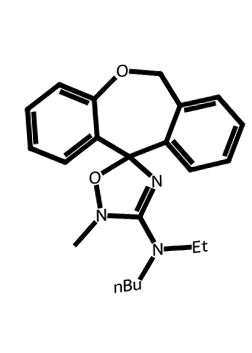 CCCCN(CC)C1=NC2(ON1C)c1ccccc1COc1ccccc12